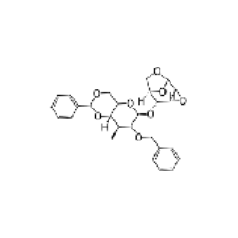 C[C@@H]1C(OCc2ccccc2)[C@H](O[C@H]2C3O[C@H]3C3OC[C@H]2O3)OC2COC(c3ccccc3)O[C@H]21